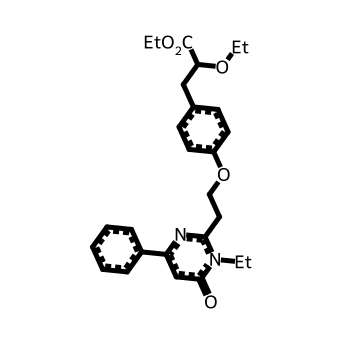 CCOC(=O)C(Cc1ccc(OCCc2nc(-c3ccccc3)cc(=O)n2CC)cc1)OCC